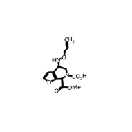 C=CCONC1CN(C(=O)O)C(C(=O)OC)c2occc21